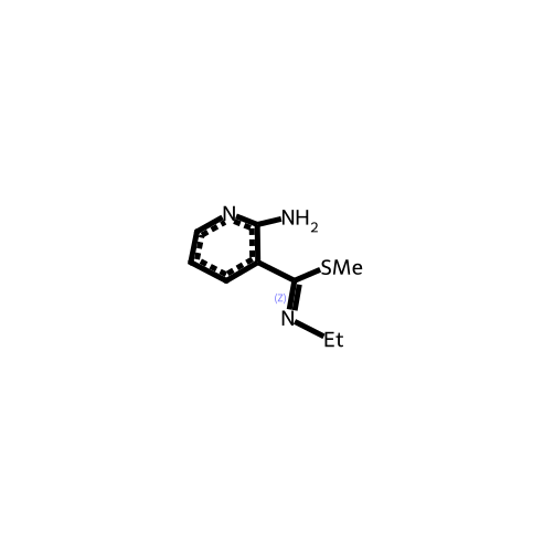 CC/N=C(\SC)c1cccnc1N